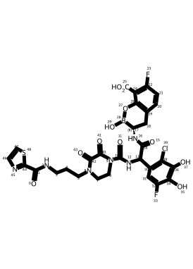 O=C(NCCCN1CCN(C(=O)NC(C(=O)N[C@H]2Cc3ccc(F)c(C(=O)O)c3OB2O)c2cc(F)c(O)c(O)c2Cl)C(=O)C1=O)c1nccs1